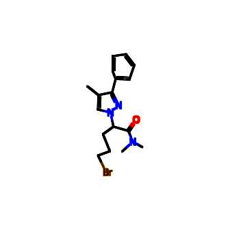 Cc1cn(C(CCCBr)C(=O)N(C)C)nc1-c1ccccc1